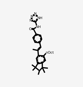 CCCCCCCCc1cc2c(cc1C(C)=Cc1ccc(C(=O)Nc3nnn[nH]3)cc1)C(C)(C)C(C)C2(C)C